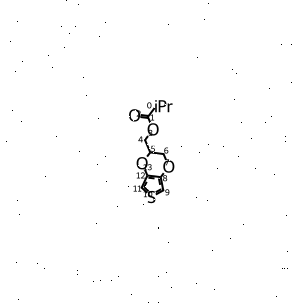 CC(C)C(=O)OCC1COc2cscc2O1